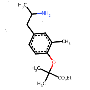 CCOC(=O)C(C)(C)Oc1ccc(CC(C)N)cc1C